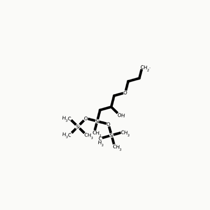 [CH2]CCOCC(O)C[Si](C)(O[Si](C)(C)C)O[Si](C)(C)C